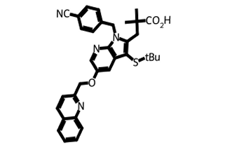 CC(C)(C)Sc1c(CC(C)(C)C(=O)O)n(Cc2ccc(C#N)cc2)c2ncc(OCc3ccc4ccccc4n3)cc12